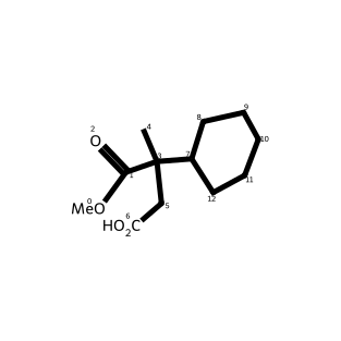 COC(=O)C(C)(CC(=O)O)C1CCCCC1